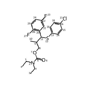 CCN(CC)C(=O)OCC(C)C(Sc1ccc(Cl)cc1)c1cc(F)ccc1F